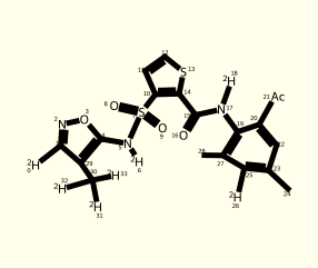 [2H]c1noc(N([2H])S(=O)(=O)c2ccsc2C(=O)N([2H])c2c(C(C)=O)cc(C)c([2H])c2C)c1C([2H])([2H])[2H]